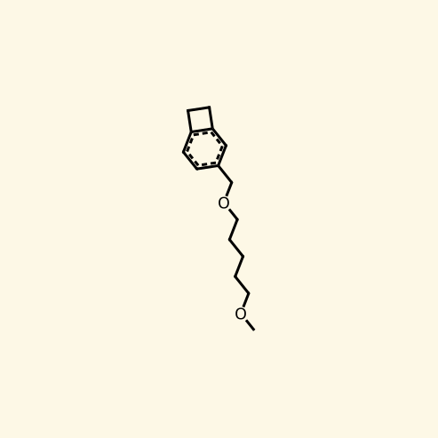 COCCCCCOCc1ccc2c(c1)CC2